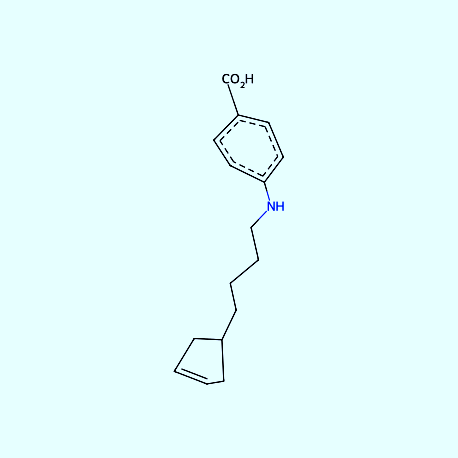 O=C(O)c1ccc(NCCCCC2CC=CC2)cc1